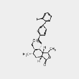 CC[C@H]1[C@H](/C=C/c2ccc(-c3ccccc3F)cn2)[C@@H]2[C@@H](C)OC(=O)[C@@H]2C[C@@H]1C